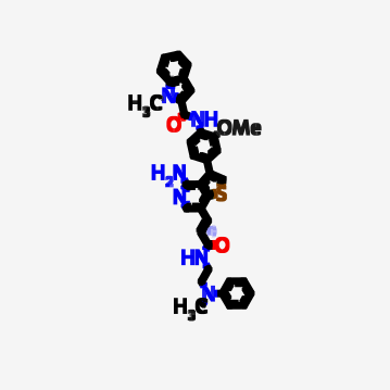 COc1cc(-c2csc3c(/C=C/C(=O)NCCN(C)c4ccccc4)cnc(N)c23)ccc1NC(=O)c1cc2ccccc2n1C